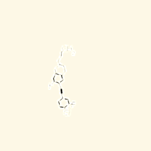 C=CCCC1CCc2cc(C#Cc3ccc(Cl)c(F)c3)c(F)cc2C1